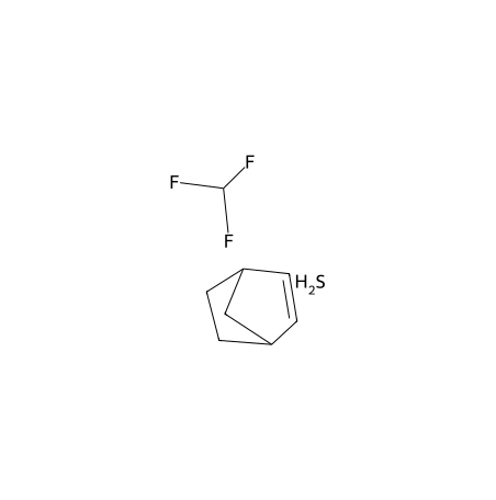 C1=CC2CCC1C2.FC(F)F.S